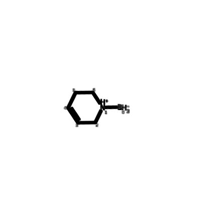 [BH3-][NH+]1CC=CCC1